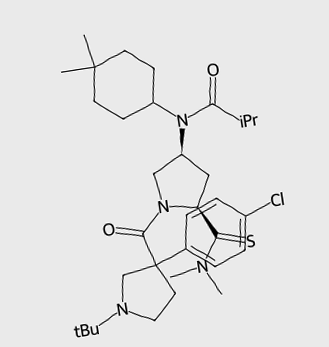 CC(C)C(=O)N(C1CCC(C)(C)CC1)[C@H]1C[C@@H](C(=S)N(C)C)N(C(=O)C2(c3ccc(Cl)cc3)CCN(C(C)(C)C)C2)C1